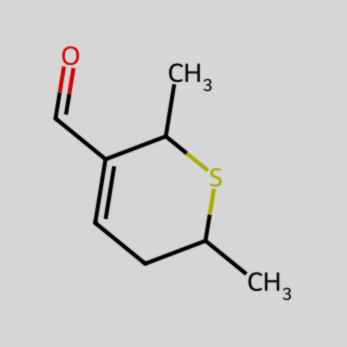 CC1CC=C(C=O)C(C)S1